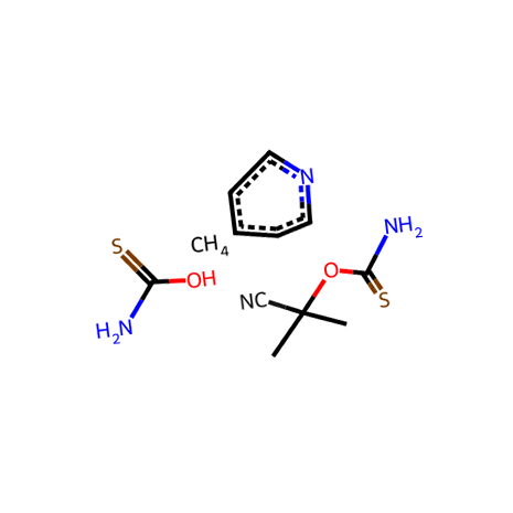 C.CC(C)(C#N)OC(N)=S.NC(O)=S.c1ccncc1